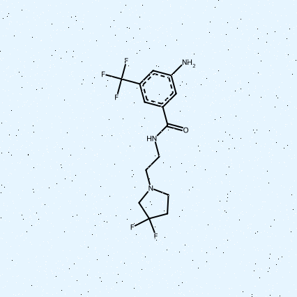 Nc1cc(C(=O)NCCN2CCC(F)(F)C2)cc(C(F)(F)F)c1